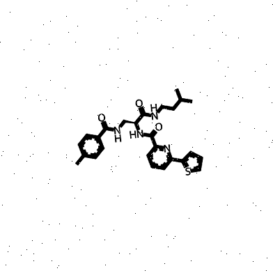 Cc1ccc(C(=O)NC[C@H](NC(=O)c2cccc(-c3cccs3)n2)C(=O)N[CH]CC(C)C)cc1